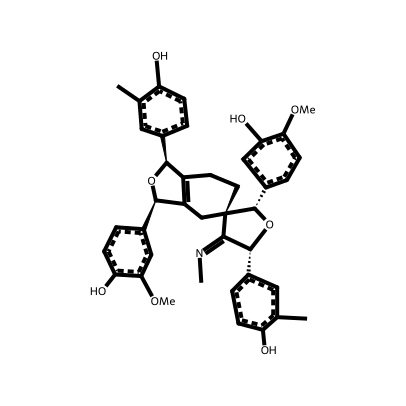 CN=C1[C@@H](c2ccc(O)c(C)c2)O[C@@H](c2ccc(OC)c(O)c2)[C@]12CCC1=C(C2)[C@@H](c2ccc(O)c(OC)c2)O[C@H]1c1ccc(O)c(C)c1